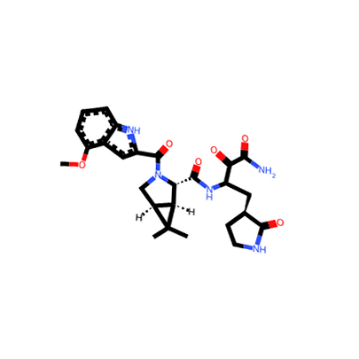 COc1cccc2[nH]c(C(=O)N3C[C@H]4[C@@H]([C@H]3C(=O)NC(C[C@@H]3CCNC3=O)C(=O)C(N)=O)C4(C)C)cc12